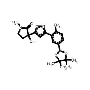 Cc1ccc(B2OC(C)(C)C(C)(C)O2)cc1-c1cc(C2(O)CCN(C)C2=O)on1